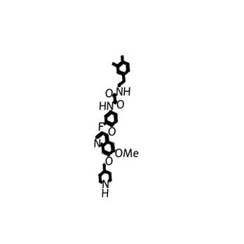 COc1cc2c(Oc3ccc(NC(=O)C(=O)NCCc4ccc(C)c(C)c4)cc3F)ccnc2cc1OCC1CCNCC1